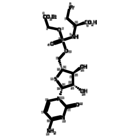 CCOC(=O)COP(=O)(N[C@@H](CC(C)C)C(=O)O)OC[C@H]1S[C@@H](n2ccc(N)nc2=O)[C@@H](O)[C@@H]1O